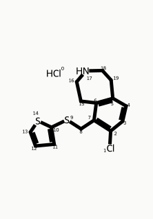 Cl.Clc1ccc2c(c1CSc1cccs1)CCNCC2